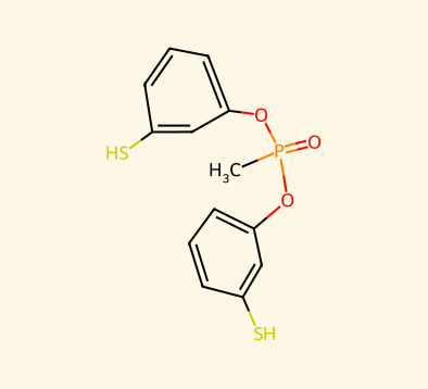 CP(=O)(Oc1cccc(S)c1)Oc1cccc(S)c1